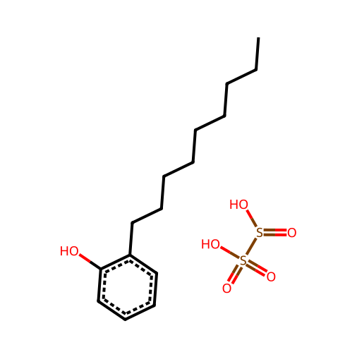 CCCCCCCCCc1ccccc1O.O=S(O)S(=O)(=O)O